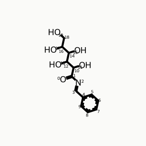 O=C(N=Cc1ccccc1)C(O)C(O)C(O)C(O)CO